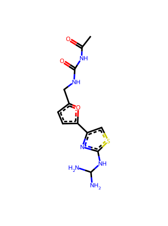 CC(=O)NC(=O)NCc1ccc(-c2csc(NC(N)N)n2)o1